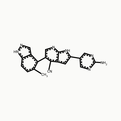 Cc1ccc2[nH]ncc2c1-c1cnc2[nH]c(-c3cnc(N)nc3)cc2c1C#N